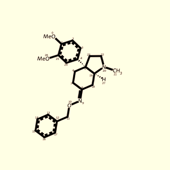 COc1ccc([C@@]23CCC(=NOCc4ccccc4)C[C@@H]2N(C)CC3)cc1OC